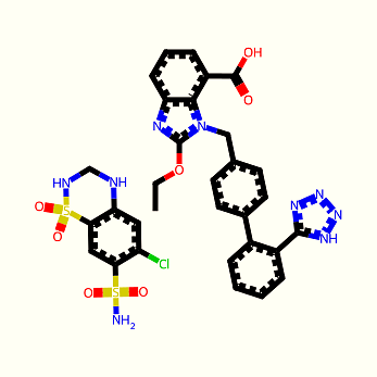 CCOc1nc2cccc(C(=O)O)c2n1Cc1ccc(-c2ccccc2-c2nnn[nH]2)cc1.NS(=O)(=O)c1cc2c(cc1Cl)NCNS2(=O)=O